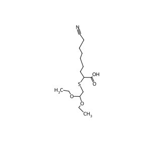 CCOC(CSC(CCCCCCC#N)C(=O)O)OCC